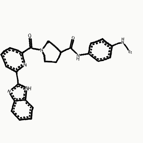 CCNc1ccc(NC(=O)C2CCN(C(=O)c3cccc(-c4nc5ccccc5[nH]4)n3)C2)cc1